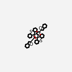 c1ccc2c(c1)Sc1ccccc1C21c2cc(-c3cc4ccccc4o3)sc2C2(c3ccccc3Sc3ccccc32)c2cc(-c3cc4ccccc4o3)sc21